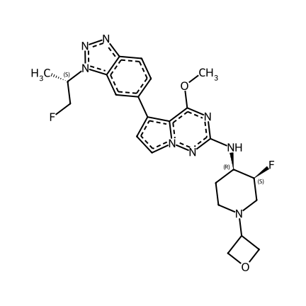 COc1nc(N[C@@H]2CCN(C3COC3)C[C@@H]2F)nn2ccc(-c3ccc4nnn([C@@H](C)CF)c4c3)c12